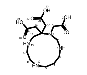 O=C(O)CN1CNCCCNCCNCC1(CC(=O)O)CC(=O)O